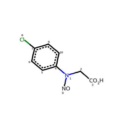 O=NN(CC(=O)O)c1ccc(Cl)cc1